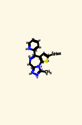 CCCCCCc1cc2c(s1)-n1c(C)nnc1CN=C2c1ccccn1